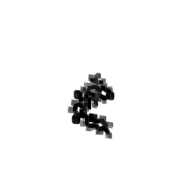 COC1=COC=C2CC(C)(C)C(CC(C)(C)NC(=O)c3ccc(=O)n(-c4ccc5cc(C)ccc5n4)c3)=C21